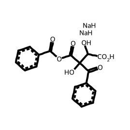 O=C(OC(=O)C(O)(C(=O)c1ccccc1)C(O)C(=O)O)c1ccccc1.[NaH].[NaH]